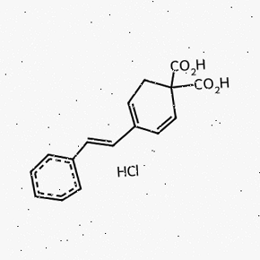 Cl.O=C(O)C1(C(=O)O)C=CC(C=Cc2ccccc2)=CC1